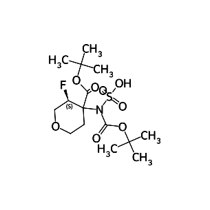 CC(C)(C)OC(=O)N(C1(C(=O)OC(C)(C)C)CCOC[C@H]1F)S(=O)(=O)O